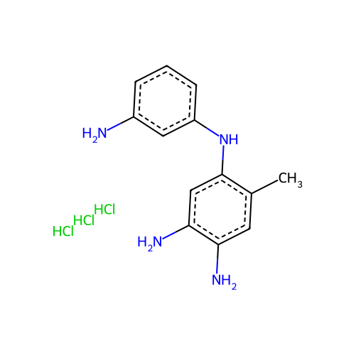 Cc1cc(N)c(N)cc1Nc1cccc(N)c1.Cl.Cl.Cl